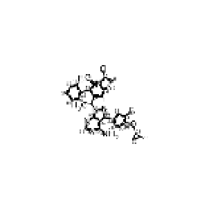 C[C@@H](c1cc2scc(Cl)n2c(=O)c1-c1ccccc1F)n1nc(-c2ccc(OC3CC3)c(F)c2)c2c(N)ncnc21